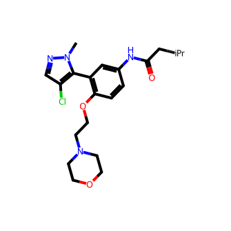 CC(C)CC(=O)Nc1ccc(OCCN2CCOCC2)c(-c2c(Cl)cnn2C)c1